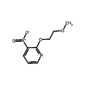 COCCOc1ncccc1[N+](=O)[O-]